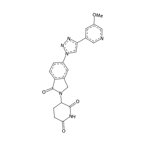 COc1cncc(-c2cn(-c3ccc4c(c3)CN(C3CCC(=O)NC3=O)C4=O)nn2)c1